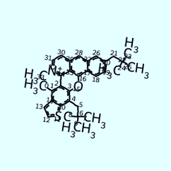 Cc1c2c(c(CC(C)(C)C)c3sccc13)Oc1c3ccc(CC(C)(C)C)cc3cc3cc[n+](C)c-2c13